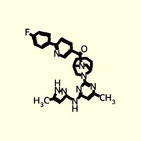 Cc1cc(Nc2cc(C)[nH]n2)nc(N2CC3CCCC2CN3C(=O)c2ccc(-c3ccc(F)cc3)nc2)n1